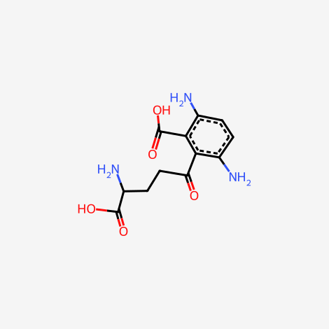 Nc1ccc(N)c(C(=O)CCC(N)C(=O)O)c1C(=O)O